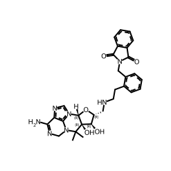 CC1(C)N2CN=C(N)c3ncn(c32)[C@@H]2O[C@H](CNCCc3ccccc3CN3C(=O)c4ccccc4C3=O)[C@@H](O)[C@@]21O